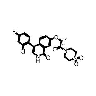 C[C@@H](Oc1ccc2c(-c3ccc(F)cc3Cl)c[nH]c(=O)c2c1)C(=O)N1CCS(=O)(=O)CC1